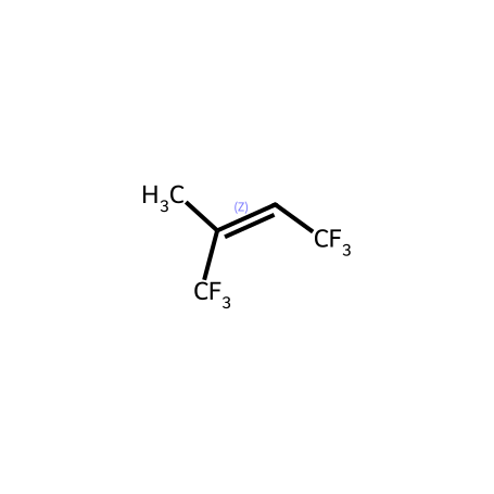 C/C(=C/C(F)(F)F)C(F)(F)F